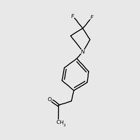 CC(=O)Cc1ccc(N2CC(F)(F)C2)cc1